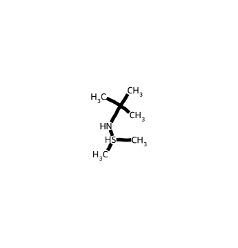 C[SH](C)NC(C)(C)C